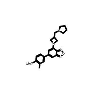 COc1ccc(-c2cc(N3CC(CN4CCCC4)C3)c3nonc3c2)cc1C